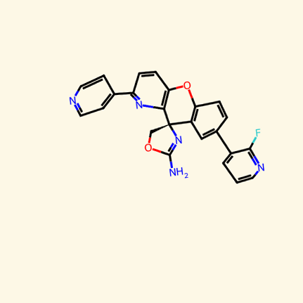 NC1=N[C@@]2(CO1)c1cc(-c3cccnc3F)ccc1Oc1ccc(-c3ccncc3)nc12